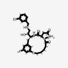 CCc1cccc(CNC[C@@H](O)[C@@H]2Cc3cc(F)cc(c3)OCCCCC(=O)N(C)C(CC(N)=O)C(=O)N2)c1